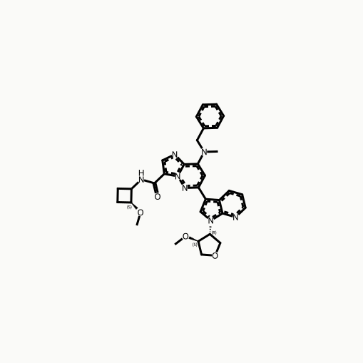 CO[C@H]1CCC1NC(=O)c1cnc2c(N(C)Cc3ccccc3)cc(-c3cn([C@@H]4COC[C@H]4OC)c4ncccc34)nn12